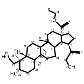 C=C(CO)[C@@H]1CC[C@]2(C(=C)OCC)CC[C@]3(C)C(CCC4[C@@]5(C)CC[C@H](O)[C@@](C)(CO)[C@@H]5CC[C@]43C)C12